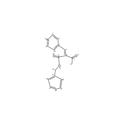 CC(=O)C(=Cc1ccncc1)C(=O)OCc1ccccc1